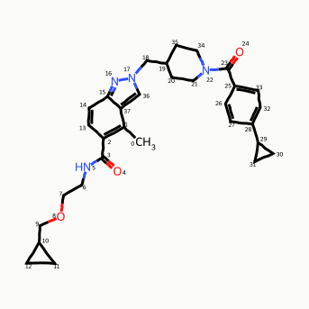 Cc1c(C(=O)NCCOCC2CC2)ccc2nn(CC3CCN(C(=O)c4ccc(C5CC5)cc4)CC3)cc12